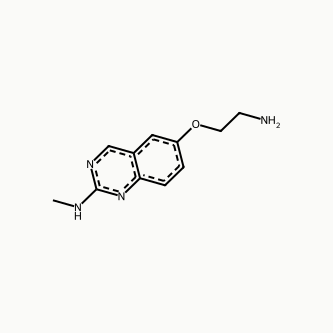 CNc1ncc2cc(OCCN)ccc2n1